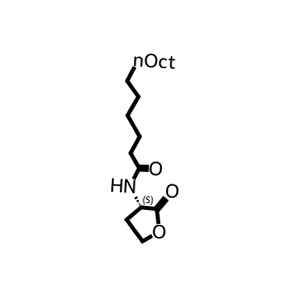 CCCCCCCCCCCCCC(=O)N[C@H]1CCOC1=O